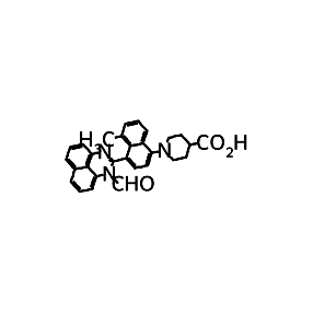 Cc1cccc2c(N3CCC(C(=O)O)CC3)ccc(C3=Nc4cccc5cccc(c45)N3C=O)c12